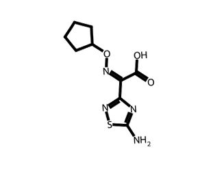 Nc1nc(/C(=N/OC2CCCC2)C(=O)O)ns1